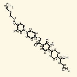 C=CCCCOc1ccc(-c2ccc(OC(=O)c3ccc(C4CCC(C(O)CCC)CC4)c(F)c3F)cc2)cc1F